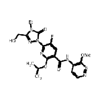 CCn1c(CO)nn(-c2nc(OC(C)C(F)(F)F)c(C(=O)Nc3ccnnc3OC)cc2F)c1=O